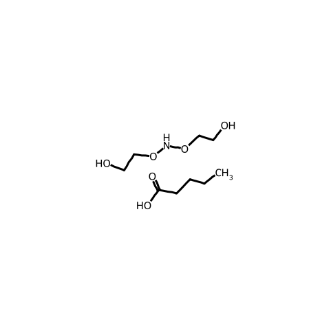 CCCCC(=O)O.OCCONOCCO